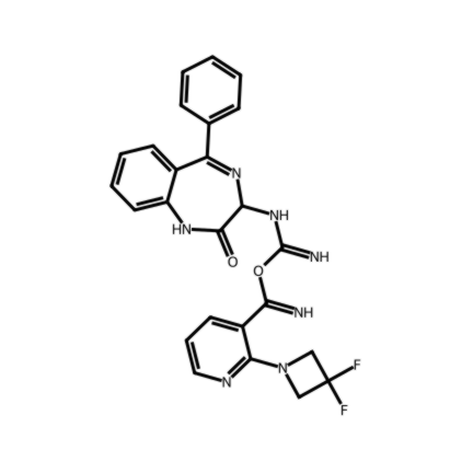 N=C(NC1N=C(c2ccccc2)c2ccccc2NC1=O)OC(=N)c1cccnc1N1CC(F)(F)C1